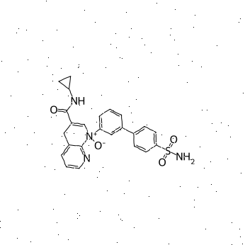 NS(=O)(=O)c1ccc(-c2cccc([N+]3([O-])C=C(C(=O)NC4CC4)Cc4cccnc43)c2)cc1